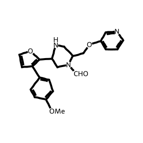 COc1ccc(-c2ccoc2C2CN(C=O)C(COc3cccnc3)CN2)cc1